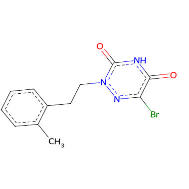 Cc1ccccc1CCn1nc(Br)c(=O)[nH]c1=O